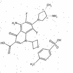 C[C@H]1CN(c2c(F)c(N)c3c(=O)c(C(=O)O)cn(C4COC4)c3c2F)C[C@H]1N.Cc1ccc(S(=O)(=O)O)cc1